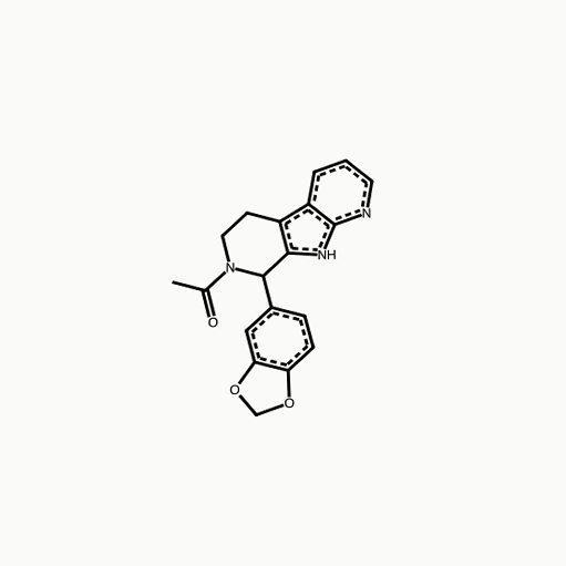 CC(=O)N1CCc2c([nH]c3ncccc23)C1c1ccc2c(c1)OCO2